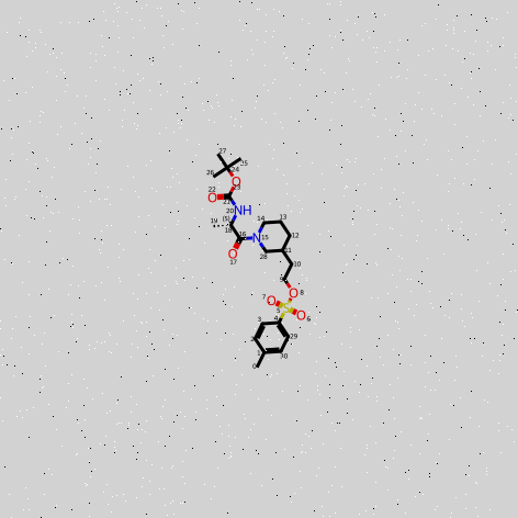 Cc1ccc(S(=O)(=O)OCCC2CCCN(C(=O)[C@H](C)NC(=O)OC(C)(C)C)C2)cc1